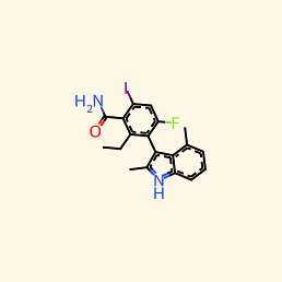 CCc1c(C(N)=O)c(I)cc(F)c1-c1c(C)[nH]c2cccc(C)c12